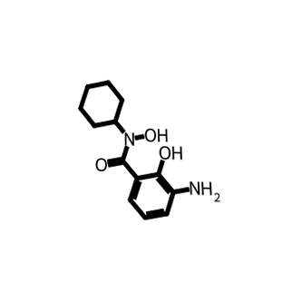 Nc1cccc(C(=O)N(O)C2CCCCC2)c1O